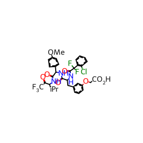 COc1ccc(C(NC(=O)C(Cc2cccc(OCC(=O)O)c2)NC(=O)C(F)(F)c2ccccc2Cl)C(=O)NC(C(=O)C(F)(F)F)C(C)C)cc1